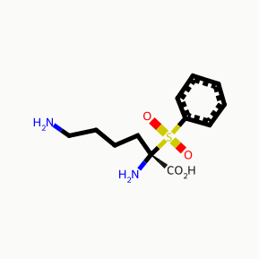 NCCCC[C@](N)(C(=O)O)S(=O)(=O)c1ccccc1